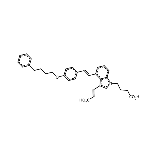 O=C(O)C=Cc1cn(CCCC(=O)O)c2cccc(C=Cc3ccc(OCCCCc4ccccc4)cc3)c12